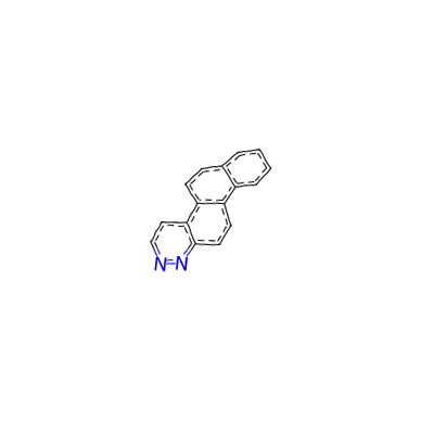 c1ccc2c(c1)ccc1c3ccnnc3ccc21